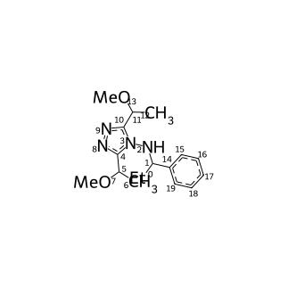 CCC(Nn1c(C(C)OC)nnc1C(C)OC)c1ccccc1